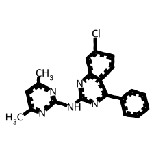 Cc1cc(C)nc(Nc2nc(-c3ccccc3)c3ccc(Cl)cc3n2)n1